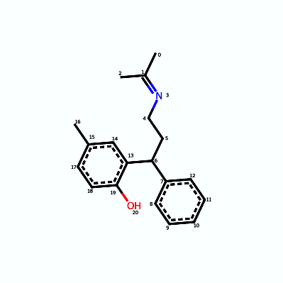 CC(C)=NCCC(c1ccccc1)c1cc(C)ccc1O